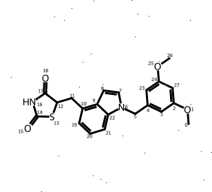 COc1cc(Cn2ccc3c(CC4SC(=O)NC4=O)cccc32)cc(OC)c1